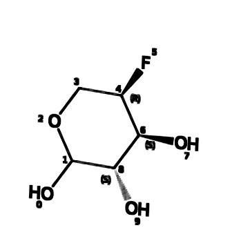 OC1OC[C@@H](F)[C@@H](O)[C@@H]1O